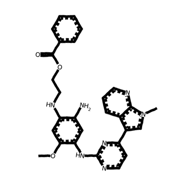 COc1cc(NCCOC(=O)c2ccccc2)c(N)cc1Nc1nccc(-c2cn(C)c3ncccc23)n1